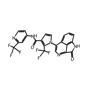 O=C(Nc1ccnc(C(F)(F)F)c1)c1ccn(-c2cnc3c4c(cccc24)NC3=O)c1C(F)(F)F